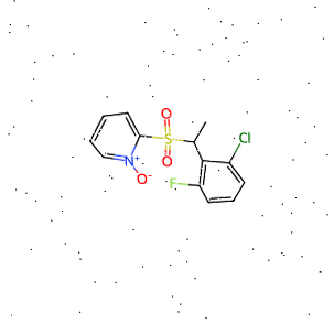 CC(c1c(F)cccc1Cl)S(=O)(=O)c1cccc[n+]1[O-]